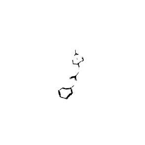 CC12OCC(NC(=O)Oc3ccccc3)(CO1)CO2